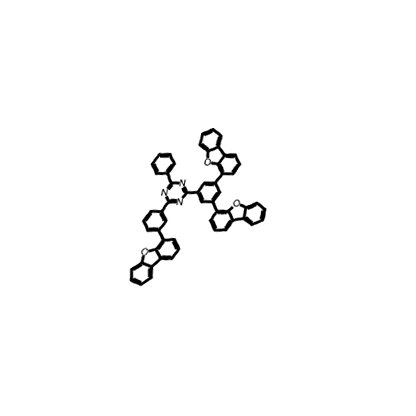 c1ccc(-c2nc(-c3cccc(-c4cccc5c4oc4ccccc45)c3)nc(-c3cc(-c4cccc5c4oc4ccccc45)cc(-c4cccc5c4oc4ccccc45)c3)n2)cc1